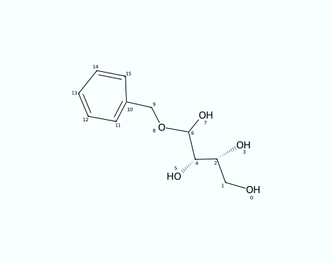 OC[C@@H](O)[C@H](O)C(O)OCc1ccccc1